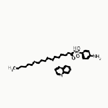 CCCCCCCCCCCCCCCCCC(=O)NS(=O)(=O)c1ccc(N)cc1.c1ccc2ncccc2c1